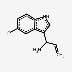 C=CC(N)c1c[nH]c2ccc(F)cc12